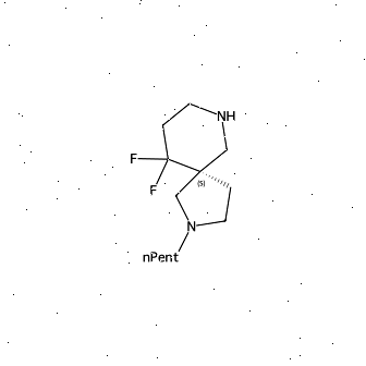 CCCCCN1CC[C@]2(CNCCC2(F)F)C1